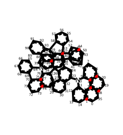 c1ccc(-c2ccccc2N(c2ccccc2-c2ccccc2)c2cc3c(c4ccccc24)-c2ccccc2C3(c2ccccc2)C2(c3ccccc3)c3ccccc3-c3c2cc(N(c2ccccc2-c2ccccc2)c2ccccc2-c2ccccc2)c2ccccc32)cc1